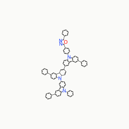 C1=CC2C(C=C1c1ccc3c(c1)c1cc(-c4ccccc4)ccc1n3-c1ccc(-c3nnc(-c4ccccc4)o3)cc1)c1cc(-c3ccccc3)ccc1N2c1ccc2c(c1)c1cc(-c3ccccc3)ccc1n2-c1ccccc1